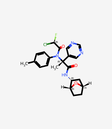 Cc1ccc(N(C(=O)[C@H](F)Cl)[C@@](C)(C(=O)N[C@@H]2C[C@@H]3CC[C@H]2O3)c2cncnc2)cc1